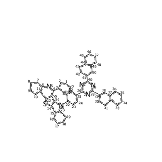 c1ccc(-c2nc3ccccc3c3sc4c5ccccc5n(-c5ccc(-c6nc(-c7ccc8ccccc8c7)nc(-c7ccc8ccccc8c7)n6)cc5)c4c23)cc1